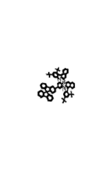 CC(C)(C)c1cc(C(C)(C)C)c2c3c4ccccc4cc4c3n(c2c1)-c1cc(-c2ccc3c(c2)-c2ccccc2C32c3ccccc3-c3ccccc32)cc2c1B4c1cc3ccccc3c3c4c(C(C)(C)C)cc(C(C)(C)C)cc4n-2c13